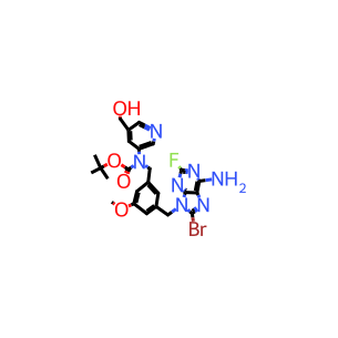 COc1cc(CN(C(=O)OC(C)(C)C)c2cncc(CO)c2)cc(Cn2c(Br)nc3c(N)nc(F)nc32)c1